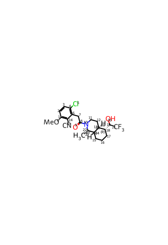 COc1ccc(Cl)c(CC(=O)N2CC[C@@H]3[C@H](CCC[C@H]3C(O)C(F)(F)F)[C@@H]2C)c1C#N